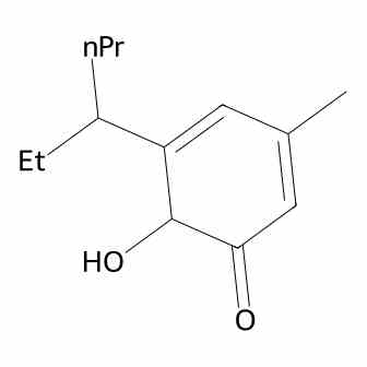 CCCC(CC)C1=CC(C)=CC(=O)C1O